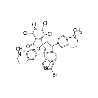 CN1CCCc2cc(C(=CC3(C=C(c4ccc(Br)cc4)c4ccc5c(c4)CCCN5C)OC(=O)c4c(Cl)c(Cl)c(Cl)c(Cl)c43)c3ccc(Br)cc3)ccc21